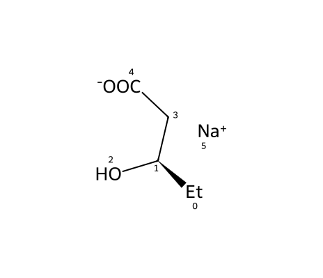 CC[C@@H](O)CC(=O)[O-].[Na+]